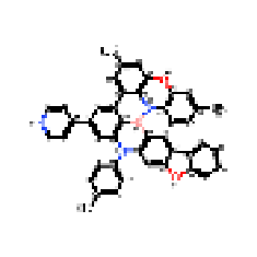 CC(C)(C)c1ccc(N2c3cc4oc5ccccc5c4cc3B3c4c(cc(-c5ccncc5)cc42)-c2cc(C(C)(C)C)cc4c2N3c2ccc(C(C)(C)C)cc2O4)cc1